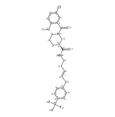 COc1ccc(Cl)cc1C(=O)N1CCC[C@H](C(=O)NCC/C=C/Sc2ccc(C(F)(F)F)cc2)C1